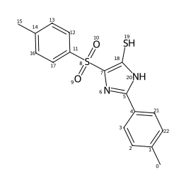 Cc1ccc(-c2nc(S(=O)(=O)c3ccc(C)cc3)c(S)[nH]2)cc1